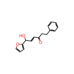 O=C(C=CC(O)c1ccco1)CCc1ccccc1